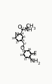 CNC(=O)c1cc(COc2ccc(N)c(F)c2)ccn1